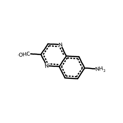 Nc1ccc2nc([C]=O)cnc2c1